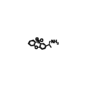 CC(CN)c1ccc2c(c1)S(=O)(=O)c1ccccc1O2